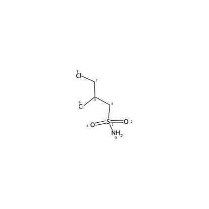 NS(=O)(=O)CC(Cl)CCl